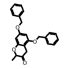 CC1Oc2cc(OCc3ccccc3)cc(OCc3ccccc3)c2CC1=O